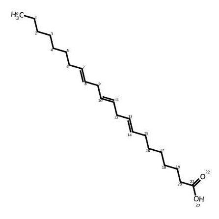 CCCCCCCC=CCC=CCC=CCCCCCCC(=O)O